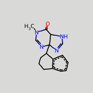 CN1C=NC2(C3CCCc4ccccc43)N=CNC2C1=O